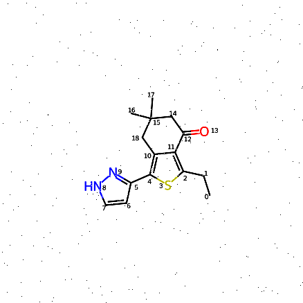 CCc1sc(-c2cc[nH]n2)c2c1C(=O)CC(C)(C)C2